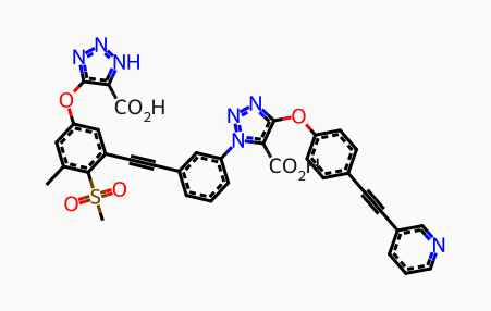 Cc1cc(Oc2nn[nH]c2C(=O)O)cc(C#Cc2cccc(-n3nnc(Oc4ccc(C#Cc5cccnc5)cc4)c3C(=O)O)c2)c1S(C)(=O)=O